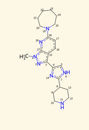 Cn1nc(-c2c[nH]c(C3CCNCC3)n2)c2ccc(N3CCCCCC3)nc21